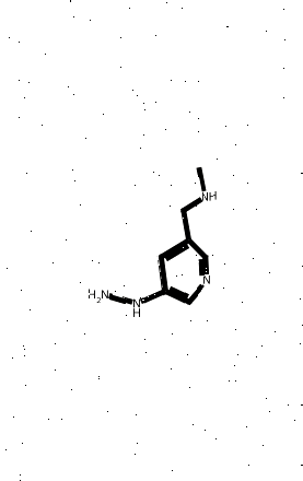 CNCc1cncc(NN)c1